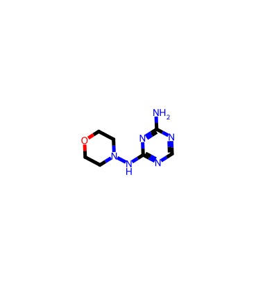 Nc1ncnc(NN2CCOCC2)n1